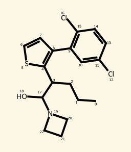 CCCC(c1sccc1-c1cc(Cl)ccc1Cl)C(O)N1CCC1